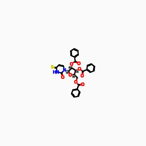 O=C(OC[C@H]1O[C@H](n2ccc(=S)[nH]c2=O)[C@H](OC(=O)c2ccccc2)[C@@H]1OC(=O)c1ccccc1)c1ccccc1